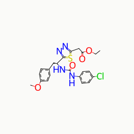 CCOC(=O)Cc1nnc([C@H](Cc2ccc(OC)cc2)NC(=O)Nc2ccc(Cl)cc2)s1